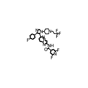 O=C(Nc1cn2nc(-c3c(-c4ccc(F)cc4)ncn3C3CCN(CCC(F)(F)F)CC3)ccc2n1)c1cc(F)nc(F)c1